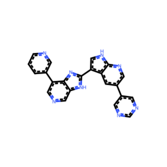 c1cncc(-c2cncc3[nH]c(-c4c[nH]c5ncc(-c6cncnc6)cc45)nc23)c1